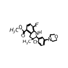 COC(=O)c1ccc(F)c2c1CC(C)(C)C(c1cccc(N3CCOCC3)c1)N2